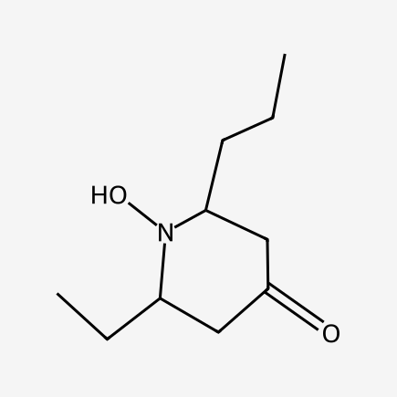 CCCC1CC(=O)CC(CC)N1O